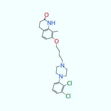 Cc1c(OCCCCN2CCN(c3cccc(Cl)c3Cl)CC2)ccc2c1NC(=O)CC2